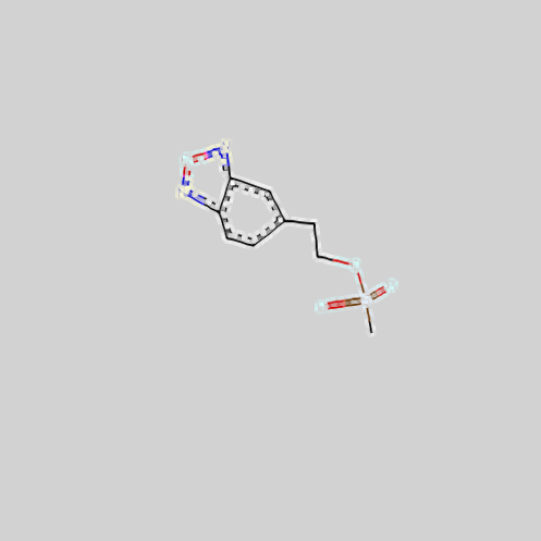 CS(=O)(=O)OCCc1ccc2nonc2c1